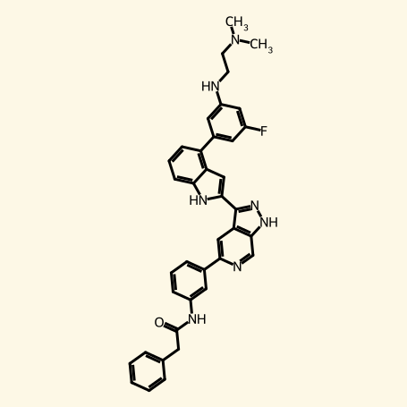 CN(C)CCNc1cc(F)cc(-c2cccc3[nH]c(-c4n[nH]c5cnc(-c6cccc(NC(=O)Cc7ccccc7)c6)cc45)cc23)c1